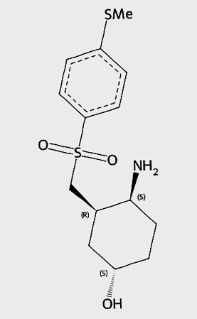 CSc1ccc(S(=O)(=O)C[C@@H]2C[C@@H](O)CC[C@@H]2N)cc1